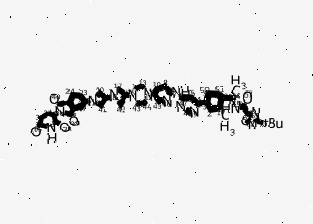 Cc1cc(-c2cc(Nc3ccc(N4CCN(C5CN(C6CN(c7ccc8c(c7)C(=O)N(C7CCC(=O)NC7=O)C8=O)C6)C5)CC4)cn3)ncn2)ccc1C(C)NC(=O)c1nc(C(C)(C)C)no1